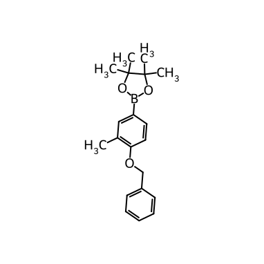 Cc1cc(B2OC(C)(C)C(C)(C)O2)ccc1OCc1ccccc1